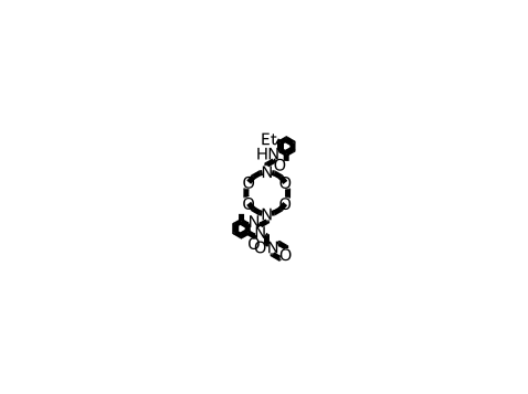 CCc1cccc(C)c1NC(=O)CN1CCOCCOCCN(Cc2nc3c(C)cccc3c(=O)n2CC(=O)N2CCOCC2)CCOCCOCC1